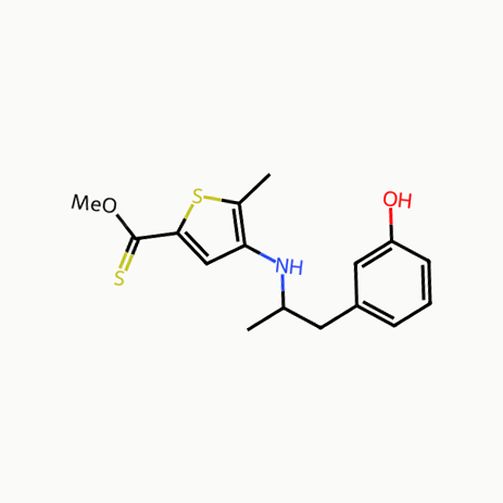 COC(=S)c1cc(NC(C)Cc2cccc(O)c2)c(C)s1